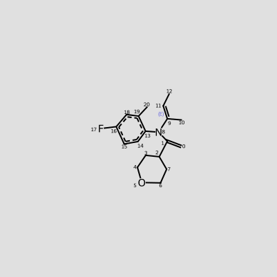 C=C(C1CCOCC1)N(/C(C)=C/C)c1ccc(F)cc1C